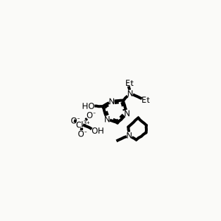 CCN(CC)c1ncnc(O)n1.CN1CCCCC1.[O-][Cl+3]([O-])([O-])O